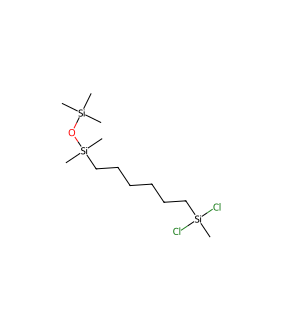 C[Si](Cl)(Cl)CCCCCC[Si](C)(C)O[Si](C)(C)C